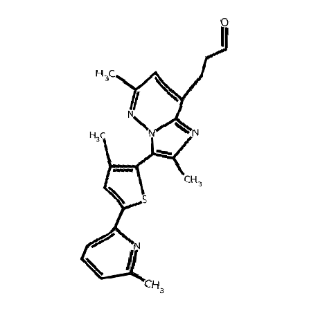 Cc1cccc(-c2cc(C)c(-c3c(C)nc4c(CCC=O)cc(C)nn34)s2)n1